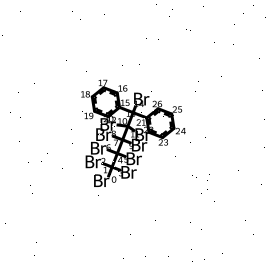 BrC(Br)(Br)C(Br)(Br)C(Br)(Br)C(Br)(Br)C(Br)(c1ccccc1)c1ccccc1